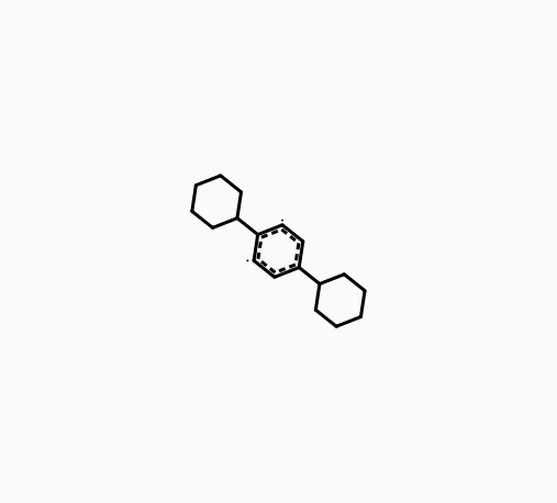 [c]1cc(C2CCCCC2)c[c]c1C1CCCCC1